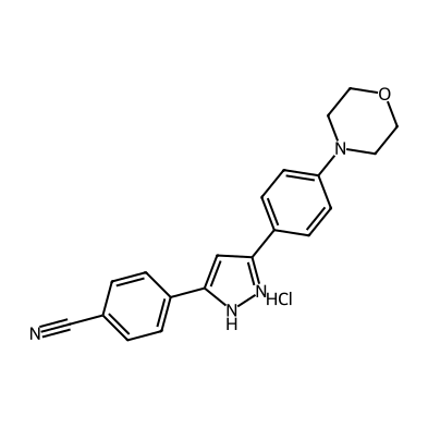 Cl.N#Cc1ccc(-c2cc(-c3ccc(N4CCOCC4)cc3)n[nH]2)cc1